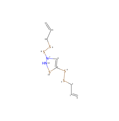 C=CCSSC1=CN(SSCC=C)NS1